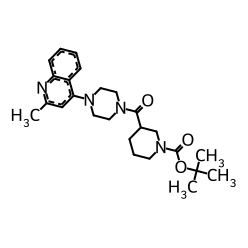 Cc1cc(N2CCN(C(=O)C3CCCN(C(=O)OC(C)(C)C)C3)CC2)c2ccccc2n1